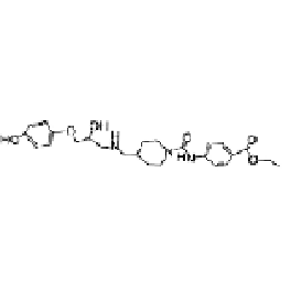 CCOC(=O)c1ccc(NC(=O)N2CCC(CNC[C@H](O)COc3ccc(O)cc3)CC2)cc1